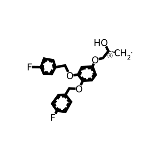 [CH2][C@@H](O)COc1ccc(OCc2ccc(F)cc2)c(OCc2ccc(F)cc2)c1